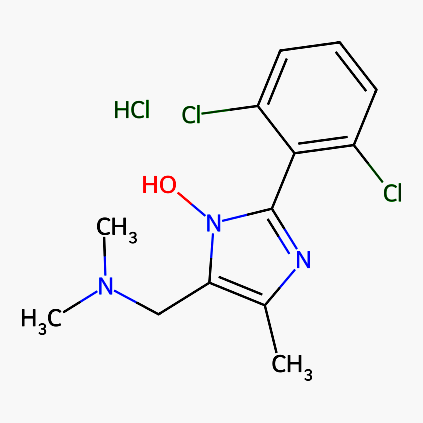 Cc1nc(-c2c(Cl)cccc2Cl)n(O)c1CN(C)C.Cl